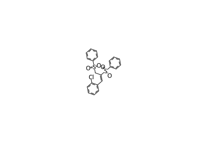 O=S(=O)(CC(=Cc1ccccc1Cl)S(=O)(=O)c1ccccc1)c1ccccc1